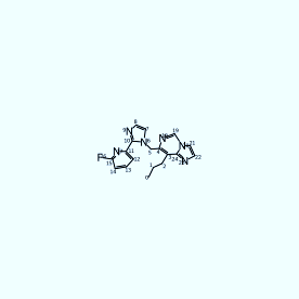 CCCc1c(Cn2ccnc2-c2cccc(F)n2)ncn2ccnc12